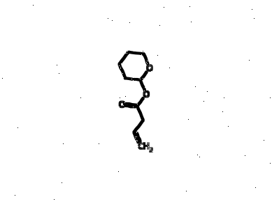 C=CCC(=O)OC1CCCCO1